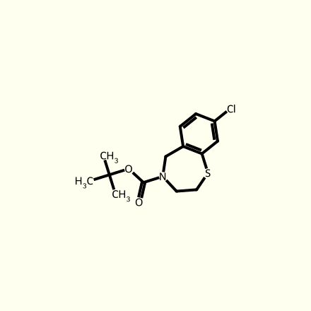 CC(C)(C)OC(=O)N1CCSc2cc(Cl)ccc2C1